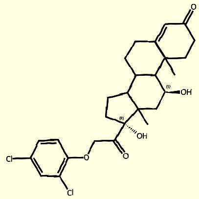 CC12CCC(=O)C=C1CCC1C2[C@@H](O)CC2(C)C1CC[C@]2(O)C(=O)COc1ccc(Cl)cc1Cl